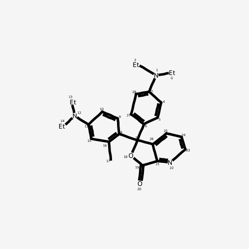 CCN(CC)c1ccc(C2(c3ccc(N(CC)CC)cc3C)OC(=O)c3ncccc32)cc1